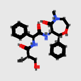 CCC[C@@H](CO)C(=O)N[C@H](C(=O)N[C@@H]1C(=O)N(C)CCO[C@@H]1c1ccccc1)c1ccccc1